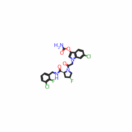 NC(=O)Oc1cn(CC(=O)N2C[C@H](F)C[C@H]2C(=O)NCc2cccc(Cl)c2F)c2cc(Cl)ccc12